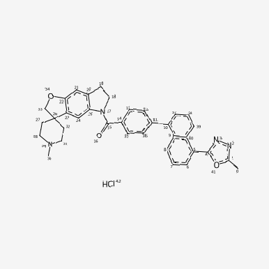 Cc1nnc(-c2cccc3c(-c4ccc(C(=O)N5CCc6cc7c(cc65)C5(CCN(C)CC5)CO7)cc4)cccc23)o1.Cl